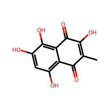 CC1=C(O)C(=O)c2c(O)c(O)cc(O)c2C1=O